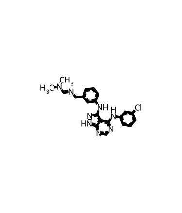 CN(C)C=NCc1cccc(Nc2n[nH]c3ncnc(Nc4cccc(Cl)c4)c23)c1